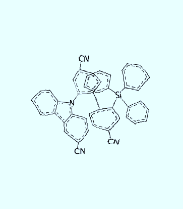 N#Cc1ccc(-c2ccc(C#N)cc2[Si](c2ccccc2)(c2ccccc2)c2ccccc2)c(-n2c3ccccc3c3cc(C#N)ccc32)c1